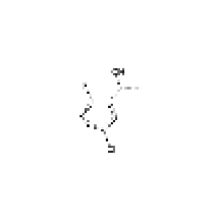 [CH2]C(O)c1cc(Cl)ccc1F